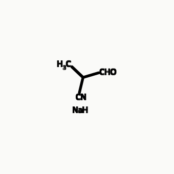 CC(C#N)C=O.[NaH]